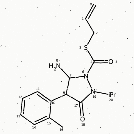 C=CCSC(=O)N1C(N)C(c2ccccc2C)C(=O)N1C(C)C